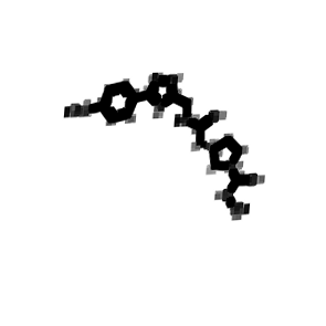 CCCCCCCCCCc1ccc(-c2noc(CNC(=O)C[C@@H]3CCN(C(=O)OC(C)(C)C)C3)n2)cc1